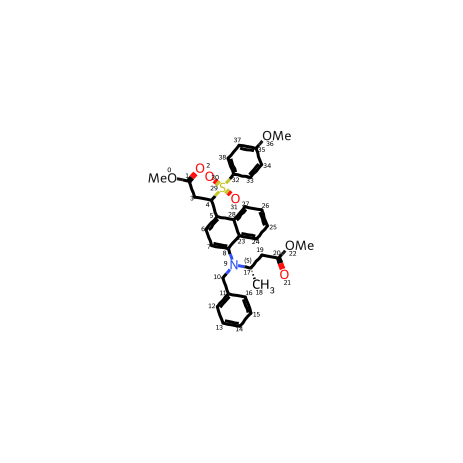 COC(=O)CC(c1ccc(N(Cc2ccccc2)[C@@H](C)CC(=O)OC)c2ccccc12)S(=O)(=O)c1ccc(OC)cc1